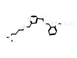 CCOC(=O)Nc1ccccc1COC(=O)c1ccnc(CNCCCCN(CC)CC)c1